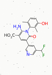 Cc1ccc(O)c(C)c1-n1c(N)c(C(=O)O)cc(-c2cncc(C(F)F)c2)c1=O